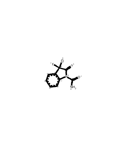 NC(=O)N1C(=O)C(F)(Cl)c2ccccc21